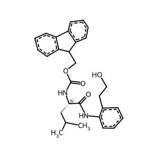 CC(C)C[C@H](NC(=O)OCC1c2ccccc2-c2ccccc21)C(=O)Nc1ccccc1CCO